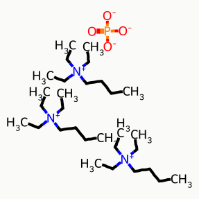 CCCC[N+](CC)(CC)CC.CCCC[N+](CC)(CC)CC.CCCC[N+](CC)(CC)CC.O=P([O-])([O-])[O-]